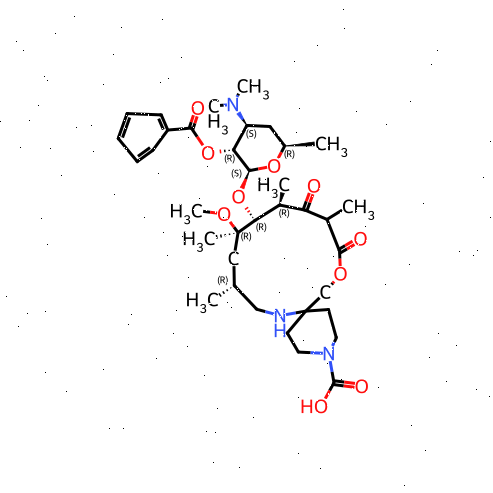 CO[C@]1(C)C[C@@H](C)CNC2(CCN(C(=O)O)CC2)COC(=O)C(C)C(=O)[C@H](C)[C@H]1O[C@@H]1O[C@H](C)C[C@H](N(C)C)[C@H]1OC(=O)c1ccccc1